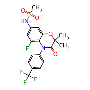 CC1(C)Oc2cc(NS(C)(=O)=O)cc(F)c2N(c2ccc(C(F)(F)F)cc2)C1=O